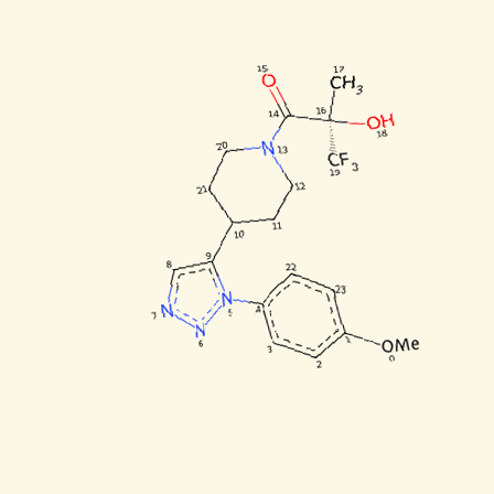 COc1ccc(-n2nncc2C2CCN(C(=O)[C@@](C)(O)C(F)(F)F)CC2)cc1